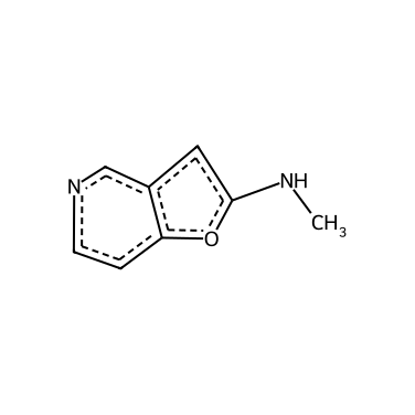 CNc1cc2cnccc2o1